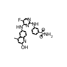 Cc1cc(O)nc2ccc(Nc3nc(Nc4cccc(S(N)(=O)=O)c4)ncc3F)cc12